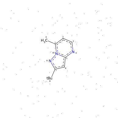 Cc1[c]cnc2cc(C(C)(C)C)nn12